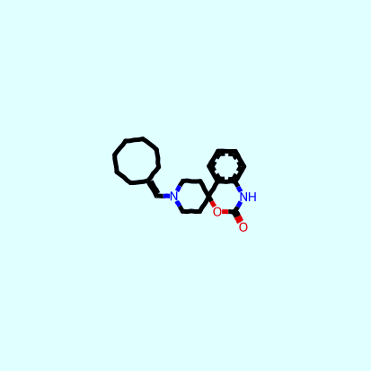 O=C1Nc2ccccc2C2(CCN(C=C3CCCCCCC3)CC2)O1